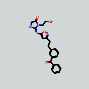 O=C(c1ccccc1)c1cccc(CCc2cc(N=C3NCC(=O)N3CCO)on2)c1